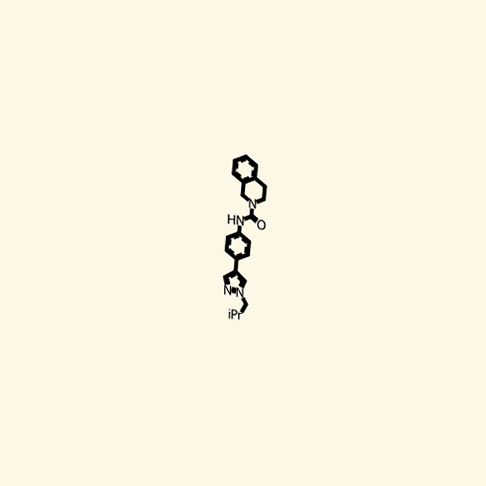 CC(C)Cn1cc(-c2ccc(NC(=O)N3CCc4ccccc4C3)cc2)cn1